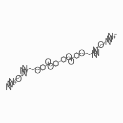 [N-]=[N+]=NCCOCCn1cc(CCCOc2ccc(C(=O)Oc3ccc(-c4ccc(OC(=O)c5ccc(OCCCc6cn(CCOCCN=[N+]=[N-])nn6)cc5)cc4)cc3)cc2)nn1